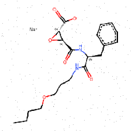 CCCCOCCCNC(=O)[C@H](Cc1ccccc1)NC(=O)[C@H]1O[C@@H]1C(=O)[O-].[Na+]